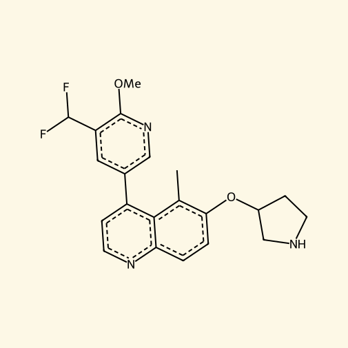 COc1ncc(-c2ccnc3ccc(OC4CCNC4)c(C)c23)cc1C(F)F